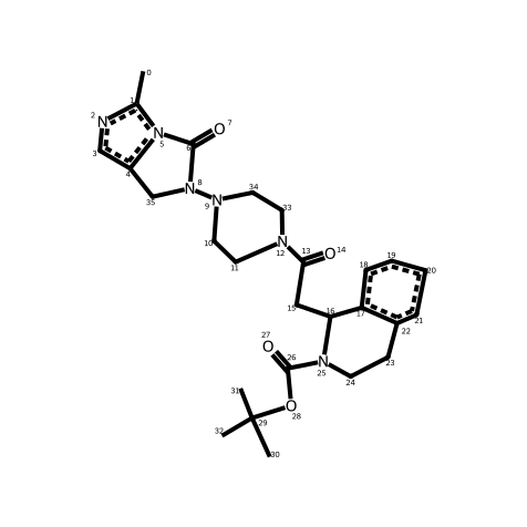 Cc1ncc2n1C(=O)N(N1CCN(C(=O)CC3c4ccccc4CCN3C(=O)OC(C)(C)C)CC1)C2